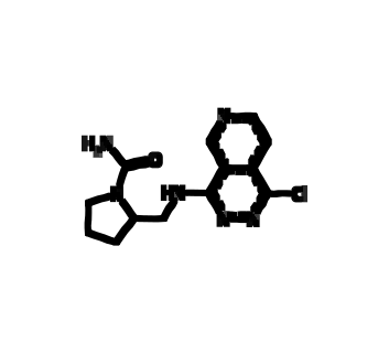 NC(=O)N1CCCC1CNc1nnc(Cl)c2ccncc12